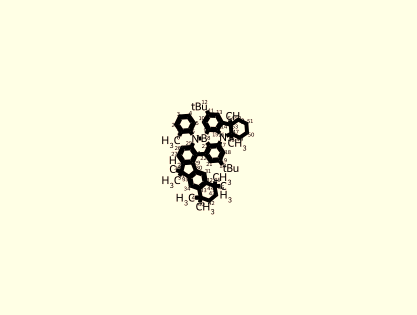 Cc1ccccc1N1B2c3cc(C(C)(C)C)cc4c3N(c3cc(C(C)(C)C)cc(c32)-c2c1ccc1c2-c2cc3c(cc2C1(C)C)C(C)(C)CCC3(C)C)C1(C)CCCCC41C